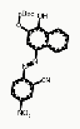 CCCCCCCCCCOc1cc(N=Nc2ccc([N+](=O)[O-])cc2C#N)c2ccccc2c1O